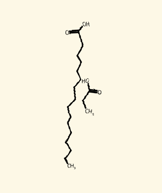 CCC(=O)O.CCCCCCCCCCCCCCCC(=O)O